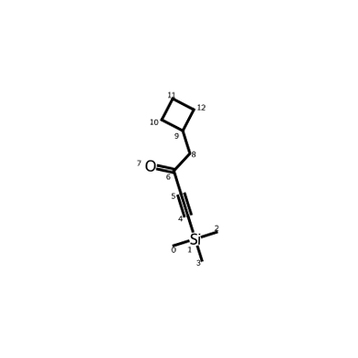 C[Si](C)(C)C#CC(=O)CC1CCC1